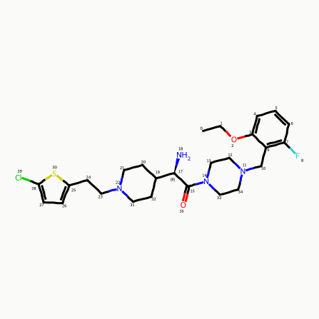 CCOc1cccc(F)c1CN1CCN(C(=O)[C@H](N)C2CCN(CCc3ccc(Cl)s3)CC2)CC1